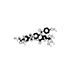 CN(C)c1ncc(S(=O)(=O)N2CCC(N(c3cc(C(C)(C)C)sc3C(=O)O)C(=O)[C@H]3CC[C@H](C)CC3)CC2)cn1